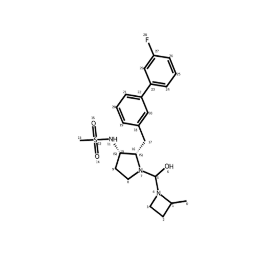 CC1CCN1C(O)N1CC[C@H](NS(C)(=O)=O)[C@@H]1Cc1cccc(-c2cccc(F)c2)c1